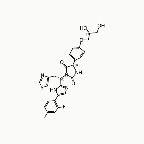 O=C1N[C@H](c2ccc(OC[C@@H](O)CO)cc2)C(=O)N1[C@@H](Cc1cscn1)c1ncc(-c2ccc(I)cc2F)[nH]1